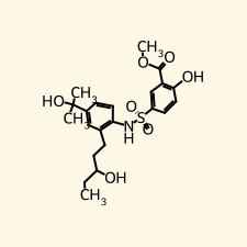 CCC(O)CCc1cc(C(C)(C)O)ccc1NS(=O)(=O)c1ccc(O)c(C(=O)OC)c1